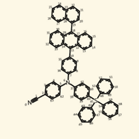 N#Cc1ccc(N(c2ccc(-c3c4ccccc4c(-c4cccc5ccccc45)c4ccccc34)cc2)c2ccc(S(c3ccccc3)(c3ccccc3)c3ccccc3)cc2)cc1